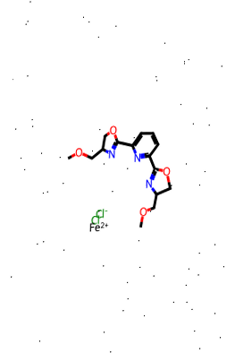 COCC1COC(c2cccc(C3=NC(COC)CO3)n2)=N1.[Cl-].[Cl-].[Fe+2]